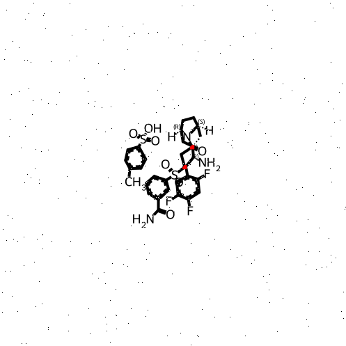 Cc1ccc(S(=O)(=O)O)cc1.NC(=O)c1cccc(S(=O)(=O)CCC(=O)N2[C@@H]3CC[C@H]2C[C@H]([C@H](N)Cc2cc(F)c(F)cc2F)C3)c1